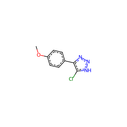 COc1ccc(-c2nn[nH]c2Cl)cc1